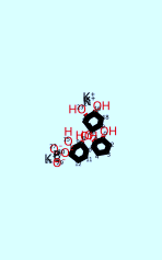 Oc1ccccc1O.Oc1ccccc1O.Oc1ccccc1O.[K+].[K+].[K+].[O-]B([O-])[O-]